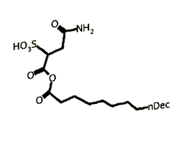 CCCCCCCCCCCCCCCCCC(=O)OC(=O)C(CC(N)=O)S(=O)(=O)O